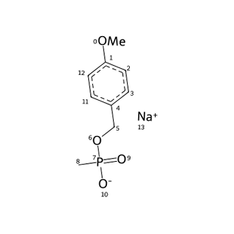 COc1ccc(COP(C)(=O)[O-])cc1.[Na+]